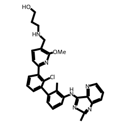 COc1nc(-c2cccc(-c3cccc(Nc4nc(C)nc5cccnc45)c3C)c2Cl)ccc1CNCCCO